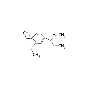 CCc1ccc(C(CC)OC)cc1CC